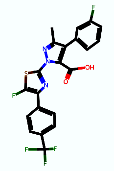 Cc1nn(-c2nc(-c3ccc(C(F)(F)F)cc3)c(F)s2)c(C(=O)O)c1-c1cccc(F)c1